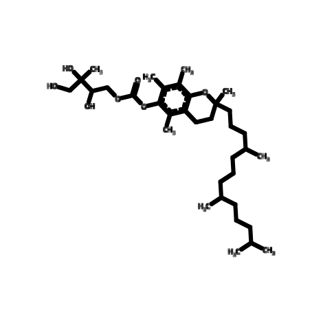 Cc1c(C)c2c(c(C)c1OC(=O)OCC(O)C(C)(O)CO)CCC(C)(CCCC(C)CCCC(C)CCCC(C)C)O2